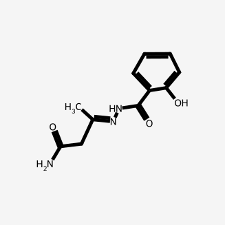 C/C(CC(N)=O)=N\NC(=O)c1ccccc1O